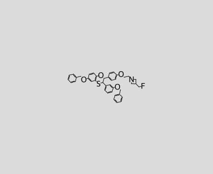 FCC1CN(CCOc2ccc(C3Oc4ccc(OCc5ccccc5)cc4SC3c3cccc(OCc4ccccc4)c3)cc2)C1